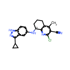 Cc1c(C#N)c(Cl)nc2c1CCC[C@@H]2Nc1ccc2[nH]nc(C3CC3)c2c1